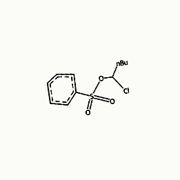 CCCCC(Cl)OS(=O)(=O)c1ccccc1